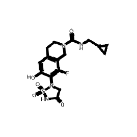 O=C1CN(c2c(O)cc3c(c2F)CN(C(=O)NCC2CC2)CC3)S(=O)(=O)N1